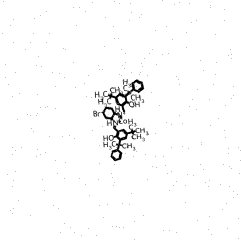 CC(C)(C)c1cc(C=[N+]2[Co][N+](=Cc3cc(C(C)(C)C)cc(C(C)(C)c4ccccc4)c3O)[C@@H]3CCCC[C@H]32)c(O)c(C(C)(C)c2ccccc2)c1.[Br-]